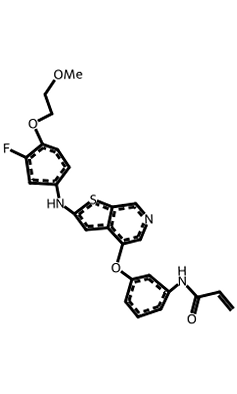 C=CC(=O)Nc1cccc(Oc2cncc3sc(Nc4ccc(OCCOC)c(F)c4)cc23)c1